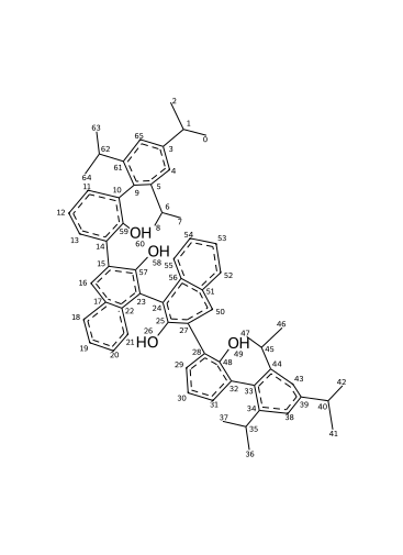 CC(C)c1cc(C(C)C)c(-c2cccc(-c3cc4ccccc4c(-c4c(O)c(-c5cccc(-c6c(C(C)C)cc(C(C)C)cc6C(C)C)c5O)cc5ccccc45)c3O)c2O)c(C(C)C)c1